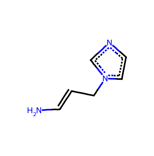 N/C=C/Cn1ccnc1